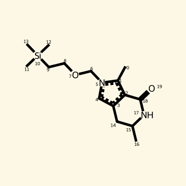 Cc1c2c(cn1COCC[Si](C)(C)C)CC(C)NC2=O